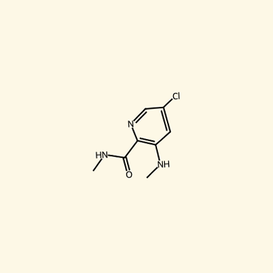 CNC(=O)c1ncc(Cl)cc1NC